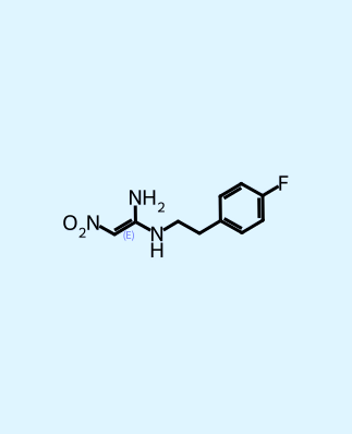 N/C(=C\[N+](=O)[O-])NCCc1ccc(F)cc1